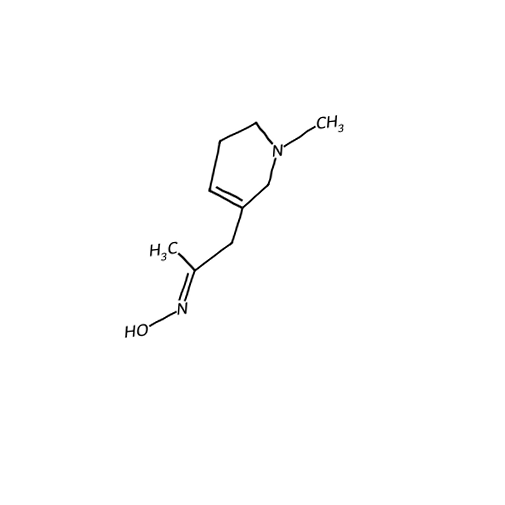 C/C(CC1=CCCN(C)C1)=N\O